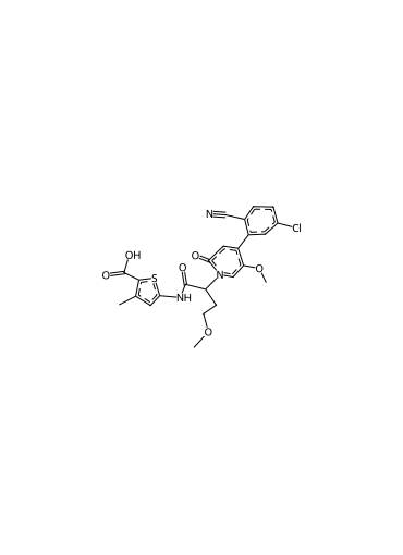 COCCC(C(=O)Nc1cc(C)c(C(=O)O)s1)n1cc(OC)c(-c2cc(Cl)ccc2C#N)cc1=O